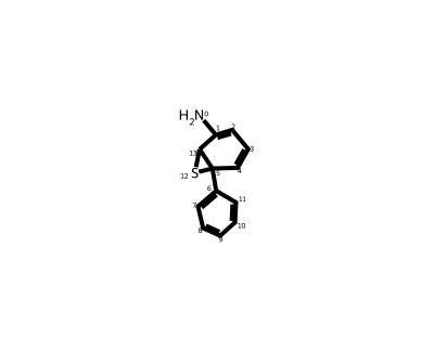 NC1=CC=CC2(c3ccccc3)SC12